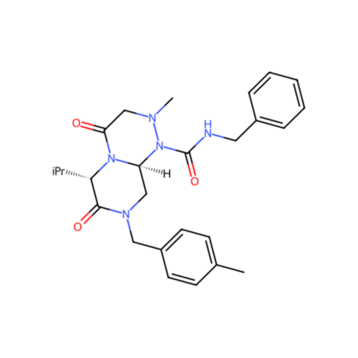 Cc1ccc(CN2C[C@H]3N(C(=O)CN(C)N3C(=O)NCc3ccccc3)[C@@H](C(C)C)C2=O)cc1